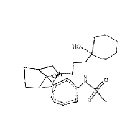 COC1(c2cccc(NS(C)(=O)=O)c2)C2CCC1CN(CCCC1(O)CCCCC1)C2